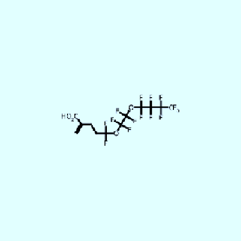 C=C(CCC(F)(F)OC(F)(F)C(F)(F)OC(F)(F)C(F)(F)C(F)(F)C(F)(F)F)C(=O)O